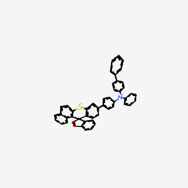 c1ccc(-c2ccc(N(c3ccccc3)c3ccc(-c4ccc5c(c4)Sc4ccc6ccccc6c4C54c5ccccc5-c5ccccc54)cc3)cc2)cc1